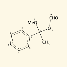 COC(C)(O[C]=O)c1ccccc1